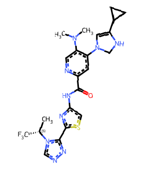 C[C@H](n1cnnc1-c1nc(NC(=O)c2cc(N3C=C(C4CC4)NC3)c(N(C)C)cn2)cs1)C(F)(F)F